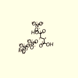 O=C(O)CCC(=O)O.O=[N+]([O-])[O-].O=[N+]([O-])[O-].O=[N+]([O-])[O-].[Fe+3]